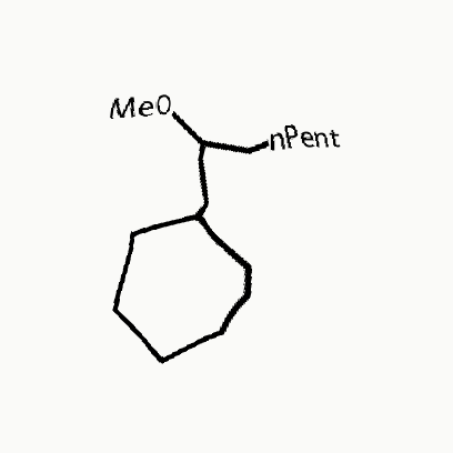 CCCCCC(OC)C1CCCCC1